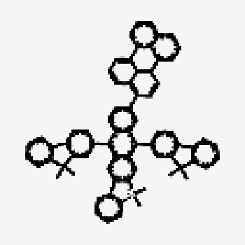 CC1(C)c2ccccc2-c2ccc(-c3c4ccc(C5=C6C=CC=C7c8cccc9cccc(c89)C(C=C5)C76)cc4c(-c4ccc5c(c4)C(C)(C)c4ccccc4-5)c4cc5c(cc34)-c3ccccc3[Si]5(C)C)cc21